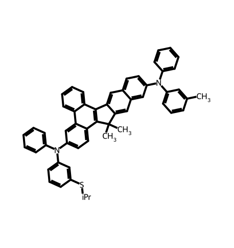 Cc1cccc(N(c2ccccc2)c2ccc3cc4c(cc3c2)C(C)(C)c2c-4c3ccccc3c3cc(N(c4ccccc4)c4cccc(SC(C)C)c4)ccc23)c1